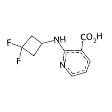 O=C(O)c1cccnc1NC1CC(F)(F)C1